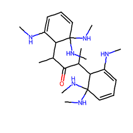 CNC1=CC=CC(NC)(NC)C1C(C)C(=O)C(C)C1C(NC)=CC=CC1(NC)NC